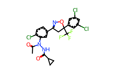 CC(=O)N(NC(=O)C1CC1)c1cc(C2=NOC(c3cc(Cl)cc(Cl)c3)(C(F)(F)F)C2)ccc1Cl